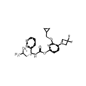 CC(C)C[C@@H](NC(=O)Oc1ccc(N2CC(F)(F)C2)c(OCC2CC2)n1)c1cccnn1